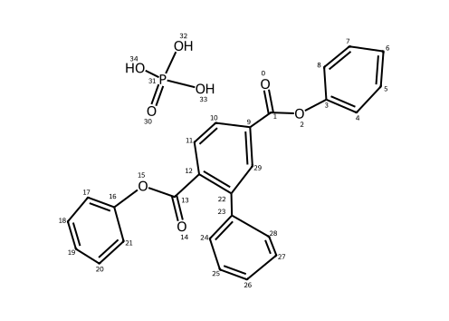 O=C(Oc1ccccc1)c1ccc(C(=O)Oc2ccccc2)c(-c2ccccc2)c1.O=P(O)(O)O